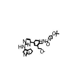 COCCc1cc(-c2ccnc(Nc3cnn4c3CCC4)n2)ccc1CNC(=O)N1CC(OC(C)(C)C)C1